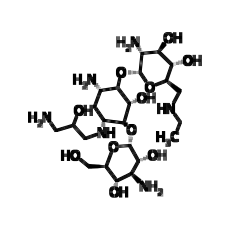 CCNC[C@H]1O[C@H](OC2[C@@H](N)C[C@@H](NCC(O)CN)[C@H](O[C@H]3O[C@H](CO)[C@@H](O)[C@H](N)[C@H]3O)[C@H]2O)[C@H](N)[C@@H](O)[C@@H]1O